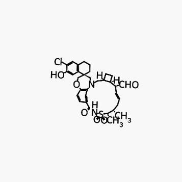 C[C@@H]1[C@@H](C)C/C=C/[C@H](C=O)[C@@H]2CC[C@H]2CN2C[C@@]3(CCCc4cc(Cl)c(O)cc43)COc3ccc(cc32)C(=O)NS1(=O)=O